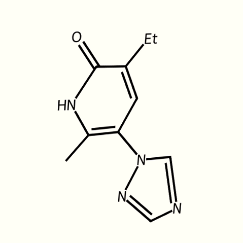 CCc1cc(-n2cncn2)c(C)[nH]c1=O